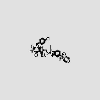 CCn1c(CSc2nc3cc(S(=O)(=O)N4CCOCC4)ccc3[nH]2)nc2c1c(=O)[nH]c(=O)n2Cc1ccc(Cl)cc1